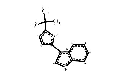 CC(C)(C)c1ccc(-c2csc3ccccc23)s1